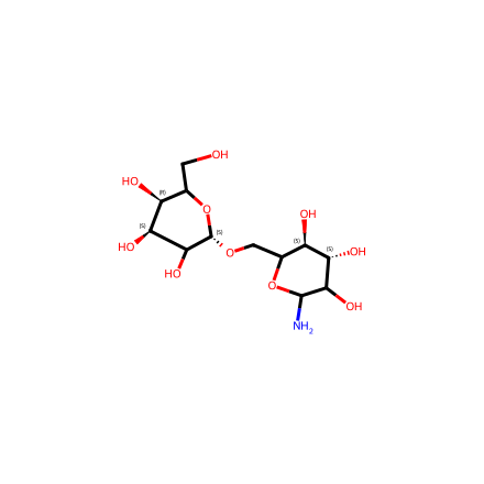 NC1OC(CO[C@H]2OC(CO)[C@H](O)[C@H](O)C2O)[C@@H](O)[C@H](O)C1O